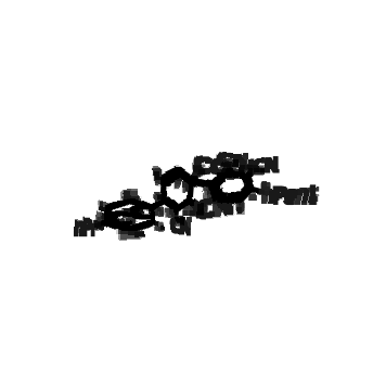 CCCCCc1ccc(C2(C(=O)O)C=CC(C34CCC(CCC)(CC3)CC4)=C(C#N)C2C#N)c(C#N)c1C#N